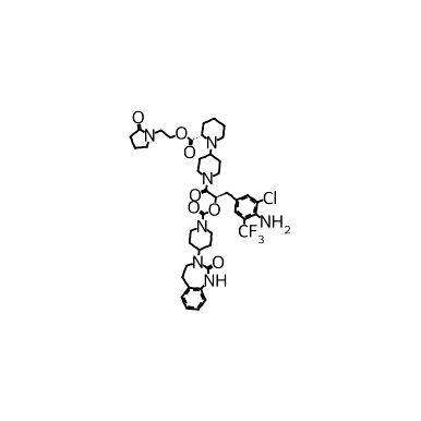 Nc1c(Cl)cc(C[C@@H](OC(=O)N2CCC(N3CCc4ccccc4NC3=O)CC2)C(=O)N2CCC(N3CCCC[C@H]3C(=O)OCCN3CCCC3=O)CC2)cc1C(F)(F)F